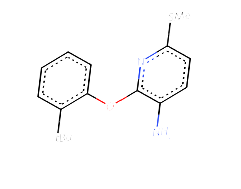 CSc1ccc(N)c(Oc2ccccc2C(C)(C)C)n1